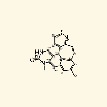 Cc1ccc2c(c1)C=Cc1ncccc1C2c1c[nH]c(=O)[nH]c1=O